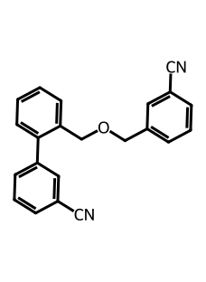 N#Cc1cccc(COCc2ccccc2-c2cccc(C#N)c2)c1